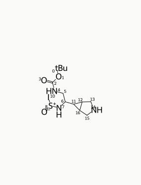 CC(C)(C)OC(=O)NCC(N[S+]([O-])I)C1C2CNCC21